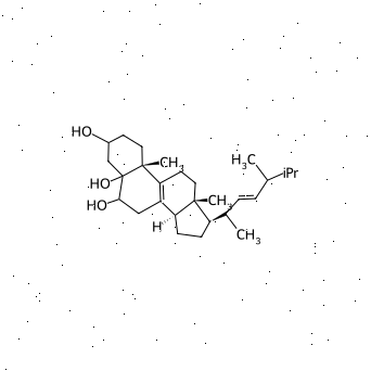 CC(C)C(C)/C=C/C(C)[C@H]1CC[C@H]2C3=C(CC[C@]12C)[C@@]1(C)CCC(O)CC1(O)C(O)C3